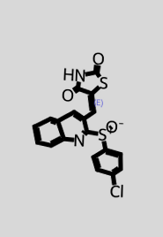 O=C1NC(=O)/C(=C\c2cc3ccccc3nc2[S+]([O-])c2ccc(Cl)cc2)S1